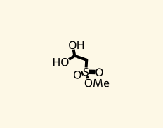 COS(=O)(=O)CC(O)O